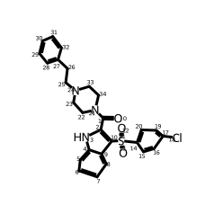 O=C(c1[nH]c2ccccc2c1S(=O)(=O)c1ccc(Cl)cc1)N1CCN(CCc2ccccc2)CC1